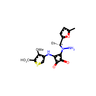 CC[C@H](c1ccc(C)o1)N(N)c1c(Nc2csc(C(=O)O)c2OC)c(=O)c1=O